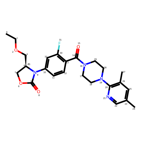 CCOC[C@@H]1COC(=O)N1c1ccc(C(=O)N2CCN(c3ncc(C)cc3C)CC2)c(F)c1